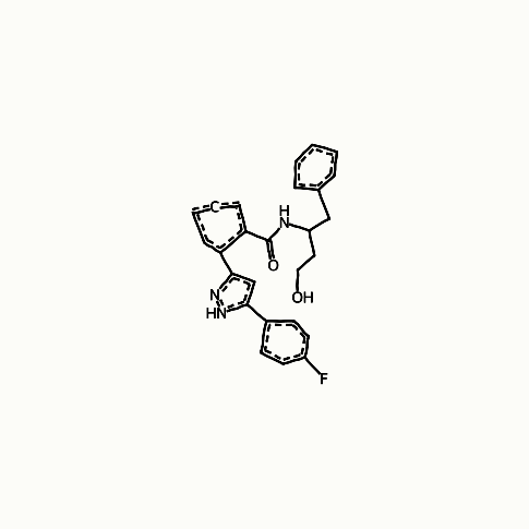 O=C(NC(CCO)Cc1ccccc1)c1ccccc1-c1cc(-c2ccc(F)cc2)[nH]n1